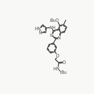 Cc1ccc2nc(-c3cccc(OCC(=O)NC(C)(C)C)c3)nc(Nc3cn[nH]c3)c2c1OCC(C)C